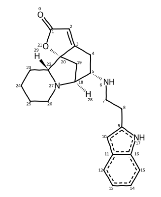 O=C1C=C2C[C@H](NCCc3cc4ccccc4[nH]3)[C@@H]3C[C@@]2(O1)[C@H]1CCCCN31